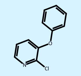 Clc1ncccc1Oc1ccccc1